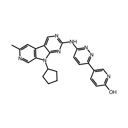 Cc1cc2c3cnc(Nc4ccc(-c5ccc(O)nc5)nn4)nc3n(C3CCCC3)c2cn1